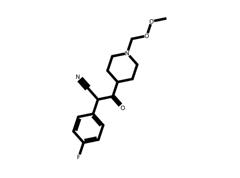 COOCN1CCC(C(=O)C(C#N)c2ccc(F)cc2)CC1